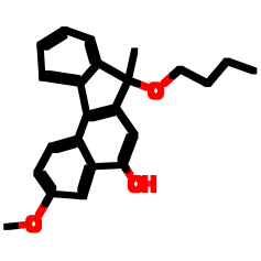 CCCCOC1(C)c2ccccc2-c2c1cc(O)c1cc(OC)ccc21